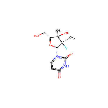 B[C@@]1(O)[C@@H](CO)O[C@@H](n2ccc(=O)[nH]c2=O)[C@]1(C)F